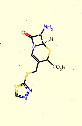 NC1C(=O)N2C=C(CSc3nncs3)C(C(=O)O)S[C@H]12